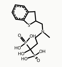 CN(CCC(O)(P(=O)(O)O)P(=O)(O)O)CC1Cc2ccccc2S1